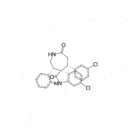 Cc1ccccc1[C@@H]1CNC(=O)C[C@H](c2cccc(Cl)c2)[C@@]12C(=O)Nc1cc(Cl)ccc12